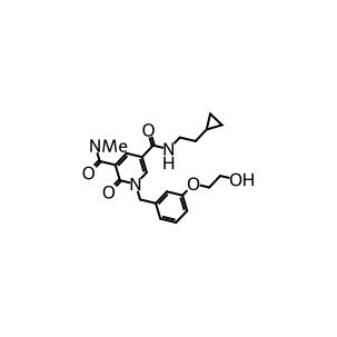 CNC(=O)c1cc(C(=O)NCCC2CC2)cn(Cc2cccc(OCCO)c2)c1=O